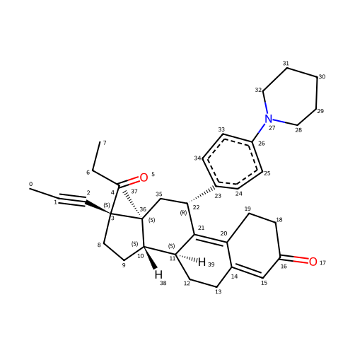 CC#C[C@]1(C(=O)CC)CC[C@H]2[C@@H]3CCC4=CC(=O)CCC4=C3[C@@H](c3ccc(N4CCCCC4)cc3)C[C@@]21C